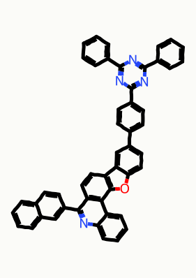 c1ccc(-c2nc(-c3ccccc3)nc(-c3ccc(-c4ccc5oc6c(ccc7c(-c8ccc9ccccc9c8)nc8ccccc8c76)c5c4)cc3)n2)cc1